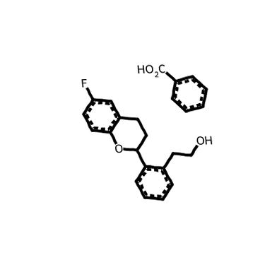 O=C(O)c1ccccc1.OCCc1ccccc1C1CCc2cc(F)ccc2O1